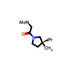 CNCC(=O)N1CC[C@](C)(C(C)C)C1